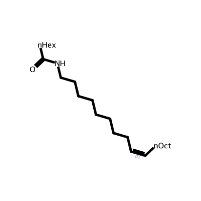 CCCCCCCC/C=C\CCCCCCCCNC(=O)CCCCCC